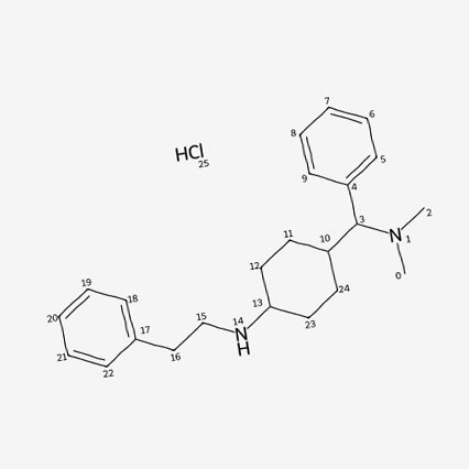 CN(C)C(c1ccccc1)C1CCC(NCCc2ccccc2)CC1.Cl